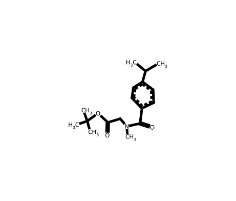 CC(C)c1ccc(C(=O)N(C)CC(=O)OC(C)(C)C)cc1